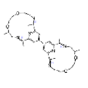 C/C1=N\CCOCCOC(C)C/N=C(\C)c2cc(-c3cc4nc(c3)/C(C)=N/CC(C)OCCOCC/N=C/4C)cc1n2